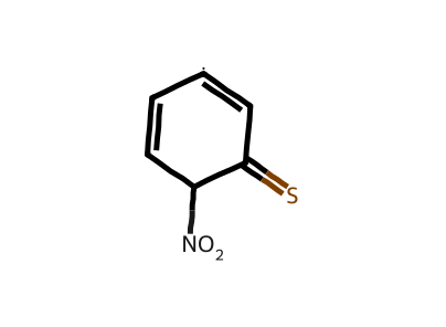 O=[N+]([O-])C1C=C[C]=CC1=S